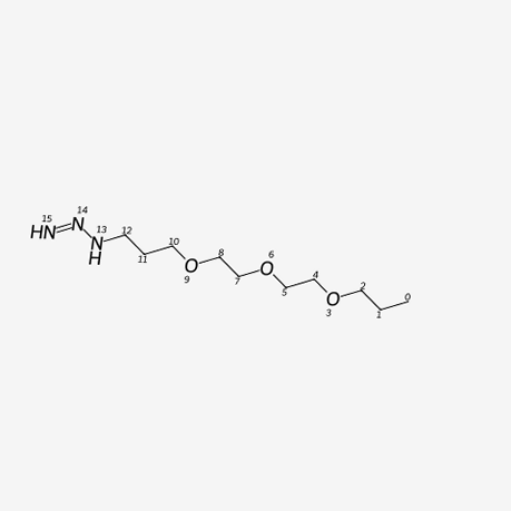 CCCOCCOCCOCCCNN=N